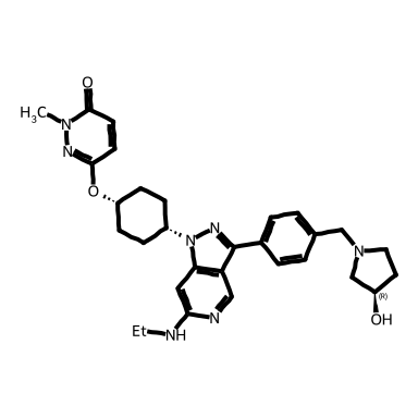 CCNc1cc2c(cn1)c(-c1ccc(CN3CC[C@@H](O)C3)cc1)nn2[C@H]1CC[C@@H](Oc2ccc(=O)n(C)n2)CC1